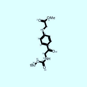 COC(=O)CSc1ccc(C(=O)CNC(=O)OC(C)(C)C)cc1